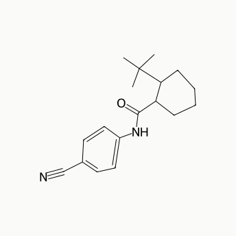 CC(C)(C)C1CCCCC1C(=O)Nc1ccc(C#N)cc1